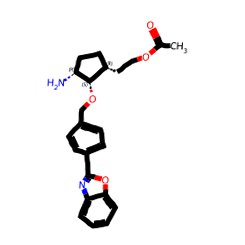 CC(=O)OCC[C@H]1CC[C@@H](N)[C@H]1OCc1ccc(-c2nc3ccccc3o2)cc1